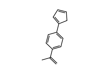 C=C(C)c1ccc(C2=CC=CC2)cc1